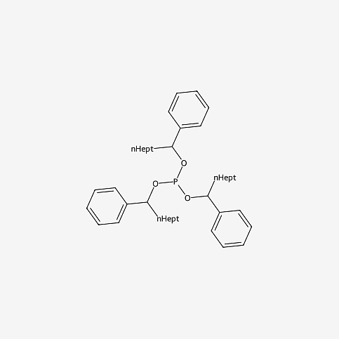 CCCCCCCC(OP(OC(CCCCCCC)c1ccccc1)OC(CCCCCCC)c1ccccc1)c1ccccc1